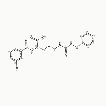 O=C(NCCC[C@H](NC(=O)c1cccc(Br)c1)C(=O)O)OCc1ccccc1